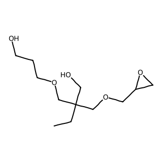 CCC(CO)(COCCCO)COCC1CO1